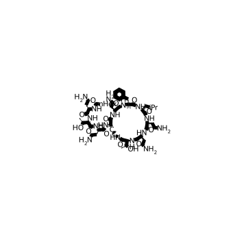 CCCCCCC(=O)N[C@@H](CCN)C(=O)N[C@H](C(=O)N[C@@H](CCN)C(=O)N[C@H]1CCNC(=O)[C@H]([C@@H](C)O)NC(=O)[C@H](CCN)NC(=O)[C@H](CCN)NC(=O)[C@H](CC(C)C)NC(=O)[C@@H](Cc2ccccc2)NC(=O)[C@H](CCN)NC1=O)[C@@H](C)O